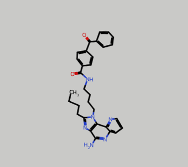 CCCCc1nc2c(N)nc3cccnc3c2n1CCCCNC(=O)c1ccc(C(=O)c2ccccc2)cc1